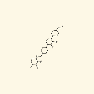 CCCC1CCC(C2CCC(C3CCC(COC4CCC(C)[C@H](F)C4F)CC3)[C@H](F)C2F)CC1